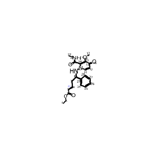 CCOC(=O)/C=C/CC(Nn1ccc(=O)c(OC)c1C(=O)NC)c1ccccc1